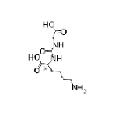 NCCCC[C@H](NC(=O)NCC(=O)O)C(=O)O